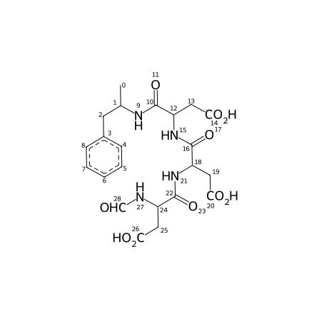 CC(Cc1ccccc1)NC(=O)C(CC(=O)O)NC(=O)C(CC(=O)O)NC(=O)C(CC(=O)O)NC=O